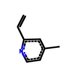 C=Cc1cc(C)ccn1